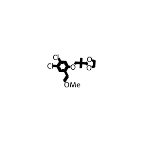 COC=Cc1cc(Cl)c(Cl)cc1OCC(C)(C)C1OCCO1